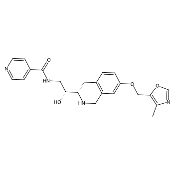 Cc1ncoc1COc1ccc2c(c1)CN[C@H]([C@H](O)CNC(=O)c1ccncc1)C2